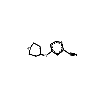 N#Cc1cc(OC2CCNCC2)ccn1